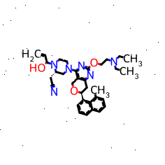 C=CC(O)N1CCN(c2nc(OCCN(CC)CC)nc3c2CO[C@H](c2cccc4cccc(C)c24)C3)C[C@@H]1CC#N